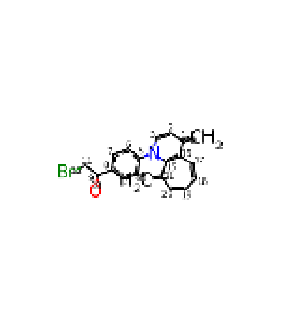 C=C1C=CN(c2ccc(C(=O)CBr)cc2)C2=C1C=CC=CC2=C